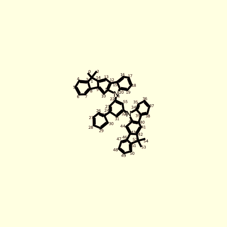 CC1(C)c2ccccc2-c2cc3c(cc21)c1ccccc1n3-c1cc(-c2ccccc2)cc(-n2c3ccccc3c3cc4c(cc32)-c2ccccc2C4(C)C)c1